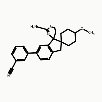 COC1CCC2(CC1)Cc1ccc(-c3cccc(C#N)c3)cc1C21CCSC(N)=N1